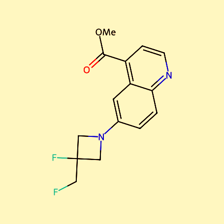 COC(=O)c1ccnc2ccc(N3CC(F)(CF)C3)cc12